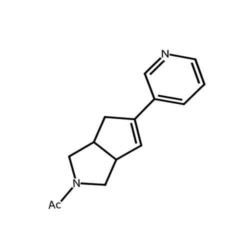 CC(=O)N1CC2C=C(c3cccnc3)CC2C1